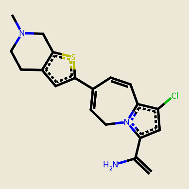 C=C(N)c1cc(Cl)c2n1CC=C(c1cc3c(s1)CN(C)CC3)C=C2